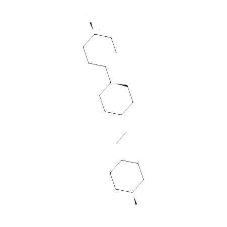 CC[C@H]1CC[C@H](CC[C@H]2CC[C@H]([C@H]3CC[C@H](OC(C)=O)CC3)CC2)CC1